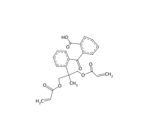 C=CC(=O)OCC(C)(COC(=O)C=C)c1ccccc1C(=O)c1ccccc1C(=O)O